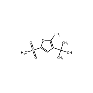 Cc1oc(S(C)(=O)=O)cc1C(C)(C)O